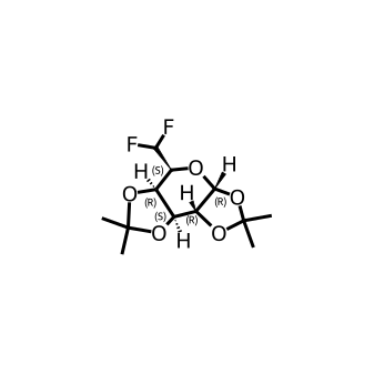 CC1(C)O[C@H]2[C@@H](O1)[C@@H](C(F)F)O[C@@H]1OC(C)(C)O[C@@H]12